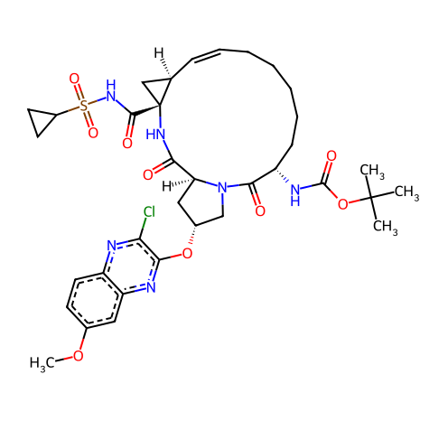 COc1ccc2nc(Cl)c(O[C@@H]3C[C@H]4C(=O)N[C@]5(C(=O)NS(=O)(=O)C6CC6)C[C@H]5/C=C\CCCCC[C@H](NC(=O)OC(C)(C)C)C(=O)N4C3)nc2c1